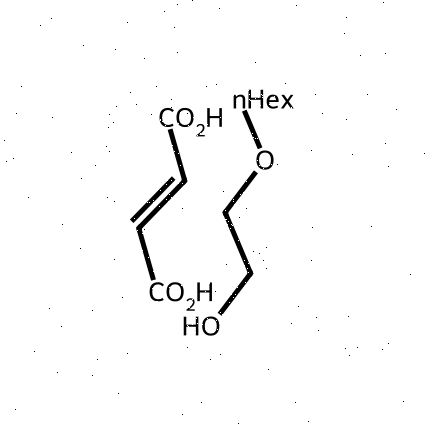 CCCCCCOCCO.O=C(O)C=CC(=O)O